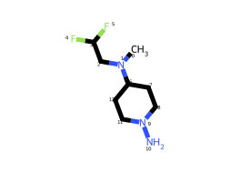 CN(CC(F)F)C1CCN(N)CC1